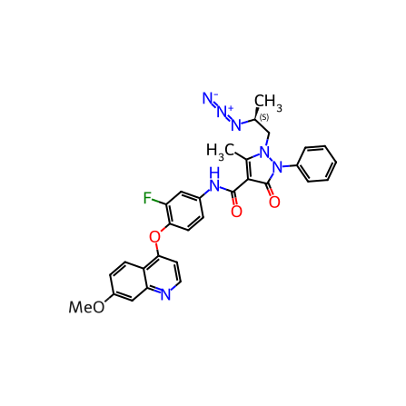 COc1ccc2c(Oc3ccc(NC(=O)c4c(C)n(C[C@H](C)N=[N+]=[N-])n(-c5ccccc5)c4=O)cc3F)ccnc2c1